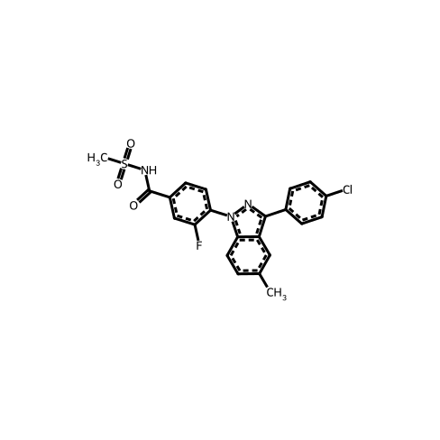 Cc1ccc2c(c1)c(-c1ccc(Cl)cc1)nn2-c1ccc(C(=O)NS(C)(=O)=O)cc1F